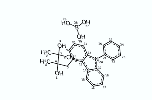 CC(C)(O)C(C)(O)Cc1cccc2c1c1ccccc1n2-c1ccccc1.OB(O)O